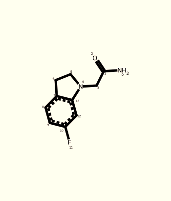 NC(=O)CN1CCc2ccc(F)cc21